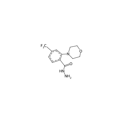 NNC(=O)c1ccc(C(F)(F)F)cc1N1CCOCC1